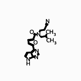 CC(C)CN(CCC#N)C(=O)c1ccc(-c2ncnc3[nH]ccc23)o1